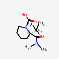 CN(C)C(=O)[C@@]1(C(C)(C)C)CCCCN1C(=O)O